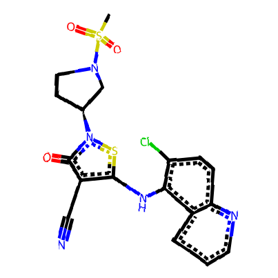 CS(=O)(=O)N1CC[C@H](n2sc(Nc3c(Cl)ccc4ncccc34)c(C#N)c2=O)C1